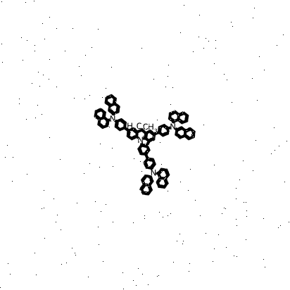 CC1(C)c2cc(C3C=CC(N(c4ccc5ccccc5c4)c4cccc5ccccc45)=CC3)ccc2-n2c3ccc(-c4ccc(N(c5ccc6ccccc6c5)c5cccc6ccccc56)cc4)cc3c3cc(-c4ccc(N(c5ccc6ccccc6c5)c5cccc6ccccc56)cc4)cc1c32